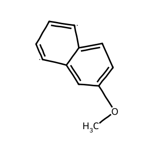 COc1ccc2[c]cc[c]c2c1